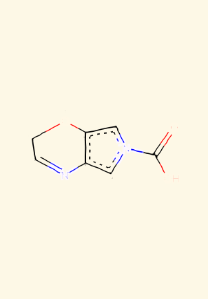 O=C(O)n1cc2c(c1)OCC=N2